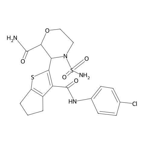 NC(=O)C1OCCN(S(N)(=O)=O)C1c1sc2c(c1C(=O)Nc1ccc(Cl)cc1)CCC2